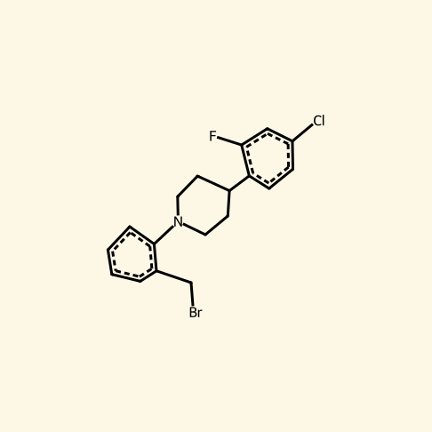 Fc1cc(Cl)ccc1C1CCN(c2ccccc2CBr)CC1